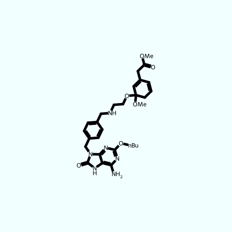 CCCCOc1nc(N)c2[nH]c(=O)n(Cc3ccc(CNCCOC4(OC)C=C(CC(=O)OC)C=CC4)cc3)c2n1